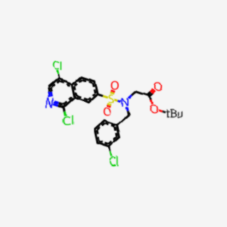 CC(C)(C)OC(=O)CN(Cc1cccc(Cl)c1)S(=O)(=O)c1ccc2c(Cl)cnc(Cl)c2c1